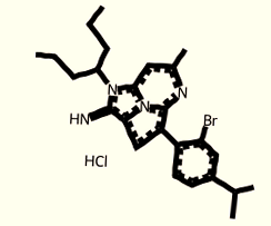 CCCC(CCC)n1c(=N)c2cc(-c3ccc(C(C)C)cc3Br)c3nc(C)cc1n32.Cl